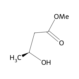 COC(=O)C[C@H](C)O